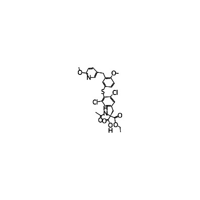 CCOC(=O)[C@@](Cc1cc(Cl)c(Sc2ccc(OC)c(Cc3ccc(OC)nc3)c2)c(Cl)c1)(NC(C)=O)C(=O)O